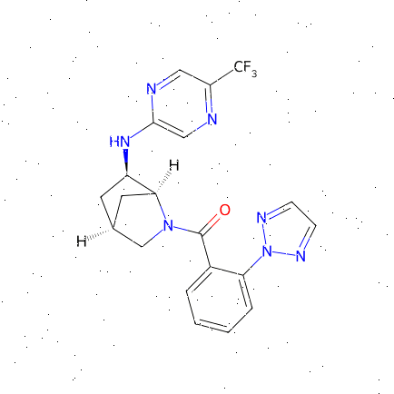 O=C(c1ccccc1-n1nccn1)N1C[C@H]2C[C@@H](Nc3cnc(C(F)(F)F)cn3)[C@@H]1C2